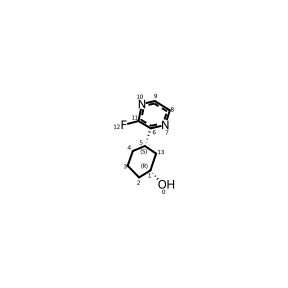 O[C@@H]1CCC[C@H](c2nccnc2F)C1